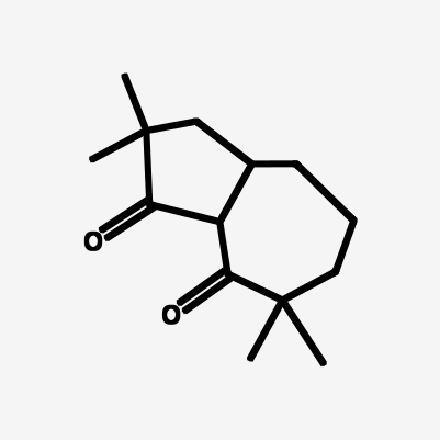 CC1(C)CCCC2CC(C)(C)C(=O)C2C1=O